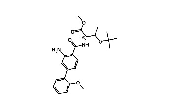 COC(=O)[C@@H](NC(=O)c1ccc(-c2ccccc2OC)cc1N)C(C)OC(C)(C)C